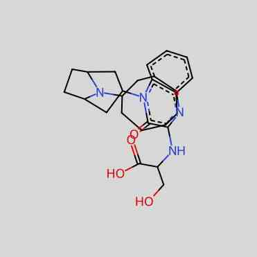 O=C(O)C(CO)Nc1nc2ccccc2n(C2CC3CCC(C2)N3C2CCCCCCC2)c1=O